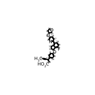 CC#CC(CC(=O)O)c1ccc(O[C@@H]2CCc3c(-c4ccc(OC5CCOC5)cn4)ccc(F)c32)cc1